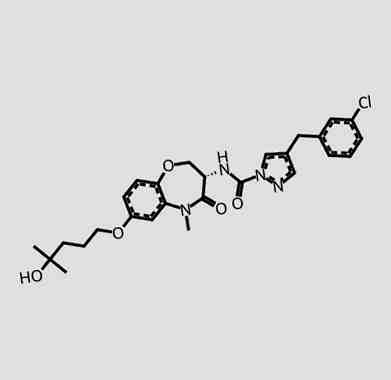 CN1C(=O)[C@@H](NC(=O)n2cc(Cc3cccc(Cl)c3)cn2)COc2ccc(OCCCC(C)(C)O)cc21